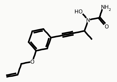 C=CCOc1cccc(C#CC(C)N(O)C(N)=O)c1